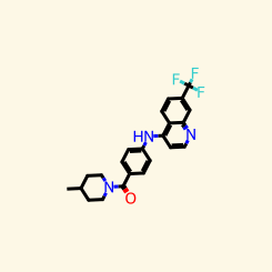 CC1CCN(C(=O)c2ccc(Nc3ccnc4cc(C(F)(F)F)ccc34)cc2)CC1